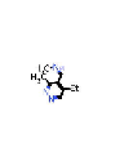 CCc1cnnc(C)c1/C=N\C